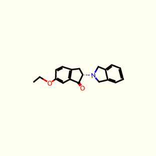 CCOc1ccc2c(c1)C(=O)[C@@H](N1Cc3ccccc3C1)C2